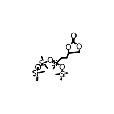 C[Si](C)(C)O[Si](C)(C)O[Si](C)(CCC1COC(=O)O1)O[Si](C)(C)C